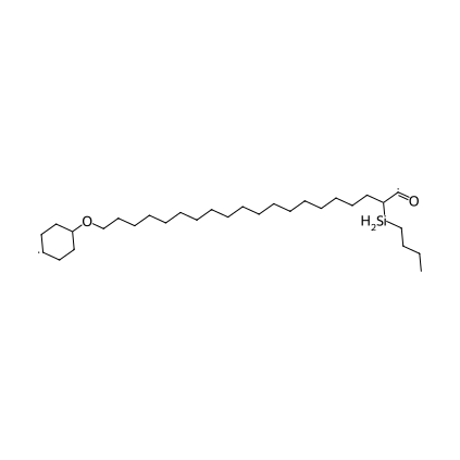 CCCC[SiH2]C([C]=O)CCCCCCCCCCCCCCCCCCOC1CC[CH]CC1